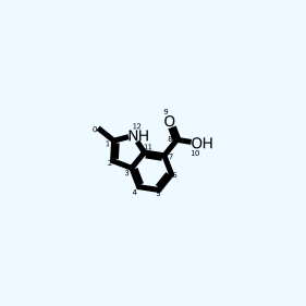 Cc1cc2cccc(C(=O)O)c2[nH]1